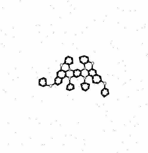 c1ccc(Oc2ccc3c4c5c(cc3c2)Oc2ccccc2B5c2cc3c(cc2N4c2ccccc2)N(c2ccccc2)c2c4c(cc5cc(Oc6ccccc6)ccc25)Oc2ccccc2B34)cc1